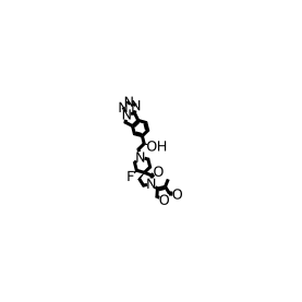 CC1=C(N2CC[C@@]3(CCN(C[C@@H](O)c4ccc5c(c4)Cn4nnnc4-5)C[C@@H]3F)C2=O)COC1=O